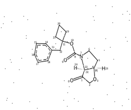 O=C1CO[C@@H]2CCN(C(=O)OC3(Cc4ccccc4)CCC3)[C@H]12